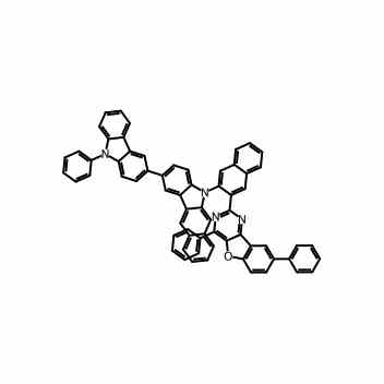 c1ccc(-c2ccc3oc4c(-c5ccccc5)nc(-c5cc6ccccc6cc5-n5c6ccc(-c7ccc8c(c7)c7ccccc7n8-c7ccccc7)cc6c6cc7ccccc7cc65)nc4c3c2)cc1